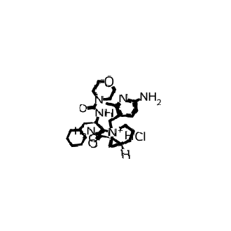 Cc1nc(N)ccc1C[N+]1(C(=O)[C@@H](CC2CCCCC2)NC(=O)N2CCOCC2)CCC[C@@H]2C[C@@]21C(N)=O.Cl